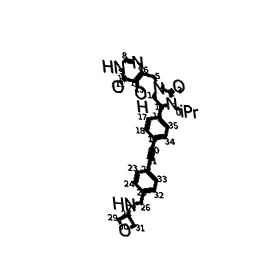 CC(C)N1C(=O)N(Cc2nc[nH]c(=O)c2O)CC1c1ccc(C#Cc2ccc(CNC3COC3)cc2)cc1